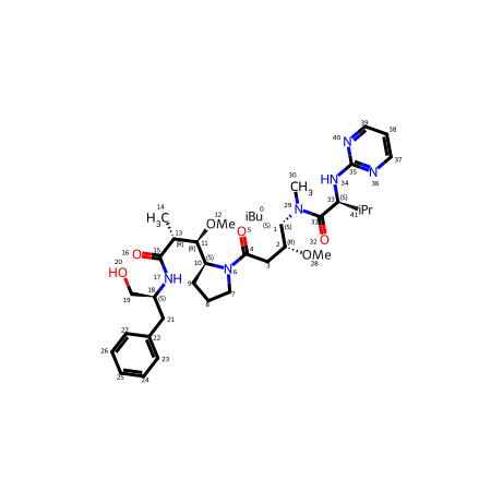 CC[C@H](C)[C@@H]([C@@H](CC(=O)N1CCC[C@H]1[C@H](OC)[C@@H](C)C(=O)N[C@H](CO)Cc1ccccc1)OC)N(C)C(=O)[C@@H](Nc1ncccn1)C(C)C